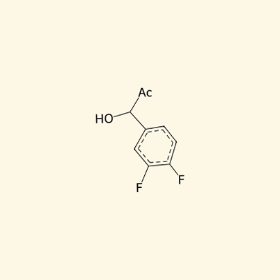 CC(=O)C(O)c1ccc(F)c(F)c1